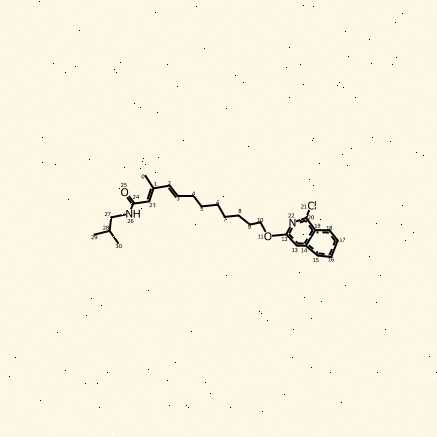 CC(C=CCCCCCCCOc1cc2ccccc2c(Cl)n1)=CC(=O)NCC(C)C